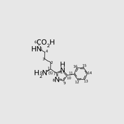 N[C@@H](CCCNC(=O)O)c1ncc(-c2ccccc2)[nH]1